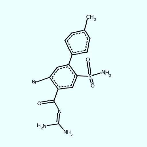 Cc1ccc(-c2cc(Br)c(C(=O)N=C(N)N)cc2S(N)(=O)=O)cc1